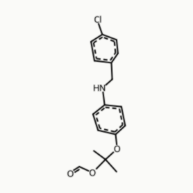 CC(C)(OC=O)Oc1ccc(NCc2ccc(Cl)cc2)cc1